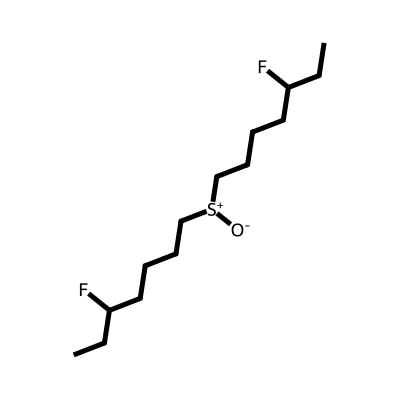 CCC(F)CCCC[S+]([O-])CCCCC(F)CC